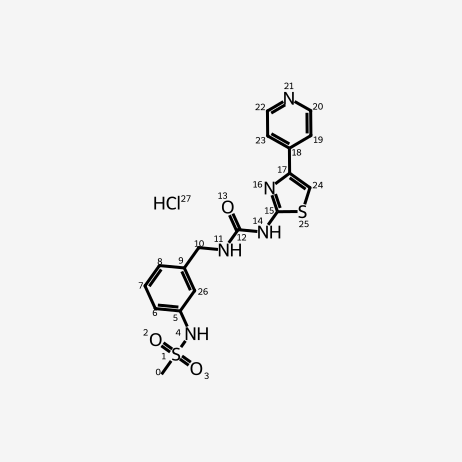 CS(=O)(=O)Nc1cccc(CNC(=O)Nc2nc(-c3ccncc3)cs2)c1.Cl